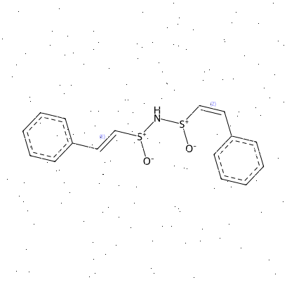 [O-][S+](/C=C\c1ccccc1)N[S+]([O-])/C=C/c1ccccc1